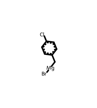 Clc1ccc([CH2][Mg][Br])cc1